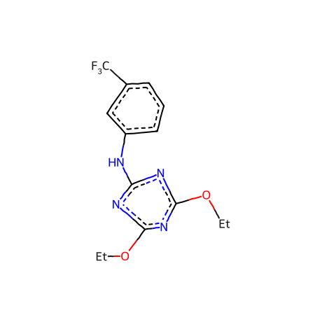 CCOc1nc(Nc2cccc(C(F)(F)F)c2)nc(OCC)n1